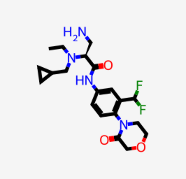 CCN(CC1CC1)[C@@H](CN)C(=O)Nc1ccc(N2CCOCC2=O)c(C(F)F)c1